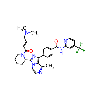 Cc1nccn2c(C3CCCCN3C(=O)C=CCN(C)C)nc(-c3ccc(C(=O)Nc4cc(C(F)(F)F)ccn4)cc3)c12